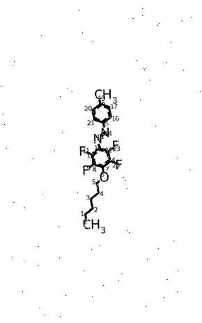 CCCCCCOc1c(F)c(F)c(/N=N/c2ccc(C)cc2)c(F)c1F